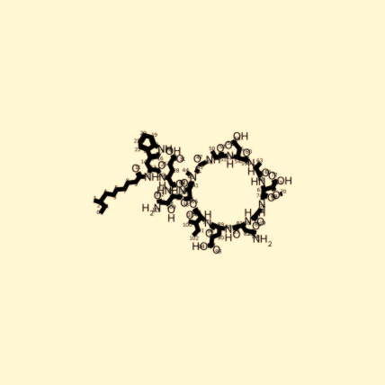 CCC(C)CCCCCCC(=O)NC(Cc1c[nH]c2ccccc12)C(=O)NC(CCC(=O)O)C(=O)NC(C(=O)NC1C(=O)N(C)CC(=O)NC(C)C(=O)NC(CC(=O)O)C(=O)NC(C)C(=O)NC(C(OC)C(=O)O)C(=O)NCC(=O)NC(CC(N)=O)C(=O)NC(CCC(=O)O)C(=O)NC(C(C)CC)C(=O)OC1C)C(O)C(N)=O